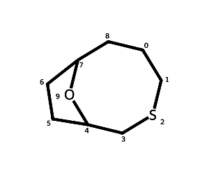 C1CSCC2CCC(C1)O2